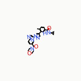 Cc1ccc(C(=O)NC2CC2)cc1-c1cnn(-c2cnc3ccc(C(=O)N4CCOCC4)cn23)c1